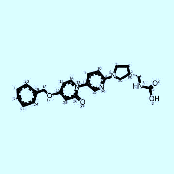 O=C(O)NC[C@H]1CCN(c2ccc(-n3ccc(OCc4ccccc4)cc3=O)cn2)C1